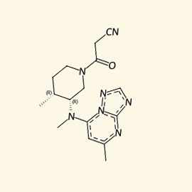 Cc1cc(N(C)[C@H]2CN(C(=O)CC#N)CC[C@H]2C)n2ncnc2n1